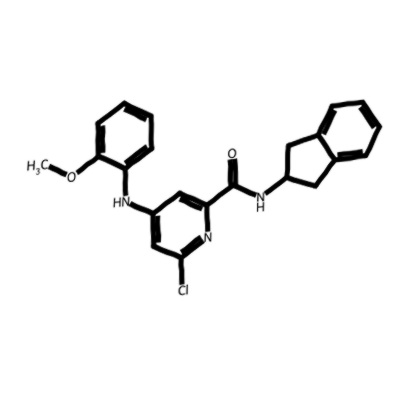 COc1ccccc1Nc1cc(Cl)nc(C(=O)NC2Cc3ccccc3C2)c1